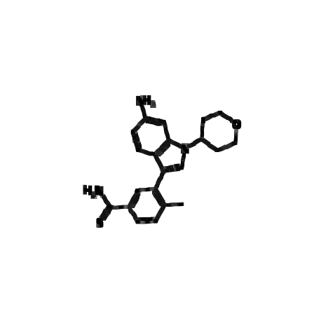 Cc1ccc(C(N)=S)cc1-c1cn(C2CCOCC2)c2cc(N)ccc12